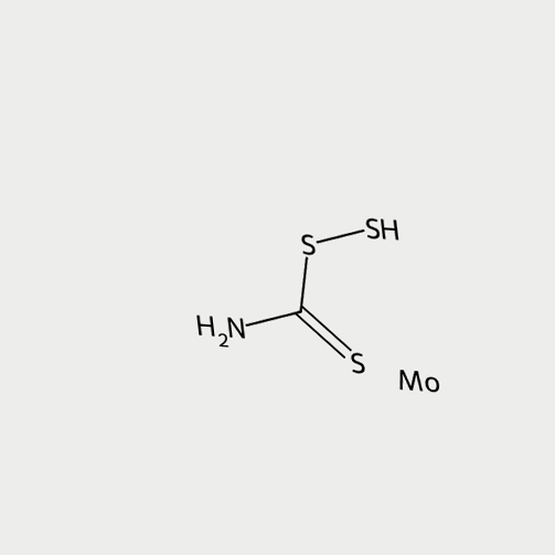 NC(=S)SS.[Mo]